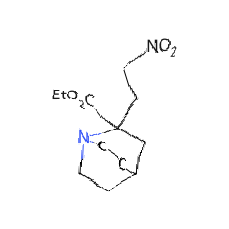 CCOC(=O)C1(CC[N+](=O)[O-])CC2CCN1CC2